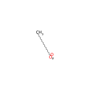 CCCCCCCCCCCCCCCCCCC(=O)OC1CC1